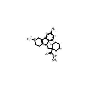 CNC(=O)C1(CC2C3=C(CN(C)CC3)c3cc(C)ccc32)CCCCC1